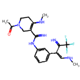 CN/C=C(\C(=N)C(F)(F)F)c1cccc(NC(=N)C2=C(NC)CCN(C(C)=O)C2)c1